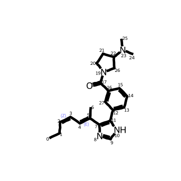 CC/C=C\C=C(/C)c1nc[nH]c1-c1cccc(C(=O)N2CCC(N(C)C)C2)c1